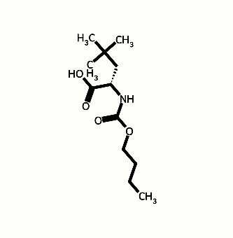 CCCCOC(=O)N[C@@H](CC(C)(C)C)C(=O)O